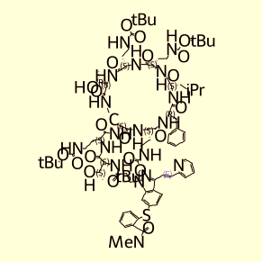 CNC(=O)c1ccccc1Sc1ccc2c(/C=C/c3ccccn3)nn(CCC(=O)N[C@H](C(=O)N[C@@H](CCNC(=O)OC(C)(C)C)C(=O)N[C@H]3CCNC(=O)[C@H]([C@@H](C)O)NC(=O)[C@H](CCNC(=O)OC(C)(C)C)NC(=O)[C@H](CCNC(=O)OC(C)(C)C)NC(=O)[C@H](CC(C)C)NC(=O)[C@@H](Cc4ccccc4)NC(=O)[C@H](CCNC(=O)OC(C)(C)C)NC3=O)[C@H](C)O)c2c1